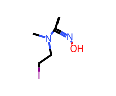 C/C(=N/O)N(C)CCI